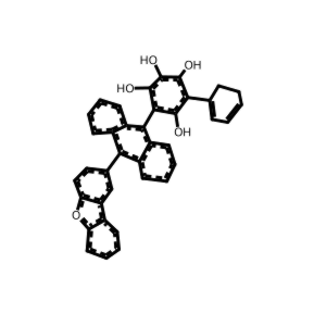 Oc1c(O)c(C2=CC=CCC2)c(O)c(-c2c3ccccc3c(-c3ccc4oc5ccccc5c4c3)c3ccccc23)c1O